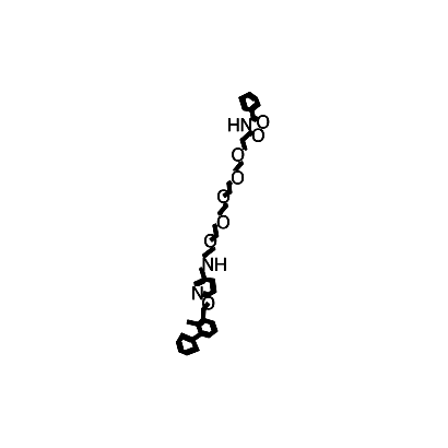 Cc1c(COc2ccc(CNCCOCCOCCOCCOCCOCCC(=O)NC(=O)c3ccccc3)cn2)cccc1-c1ccccc1